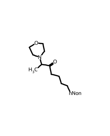 CCCCCCCCCCCCCC(=O)C(C)N1CCOCC1